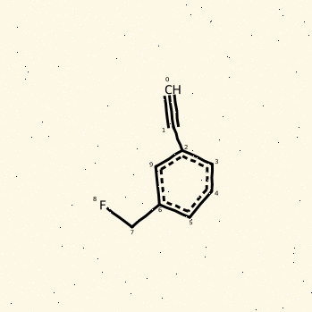 C#Cc1cccc(CF)c1